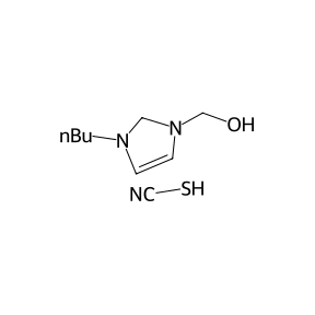 CCCCN1C=CN(CO)C1.N#CS